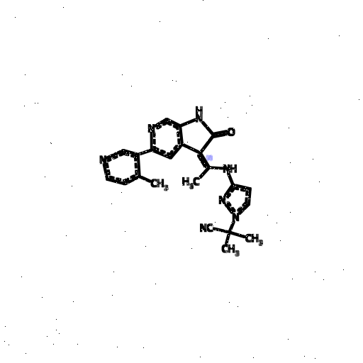 C/C(Nc1ccn(C(C)(C)C#N)n1)=C1/C(=O)Nc2cnc(-c3cnccc3C)cc21